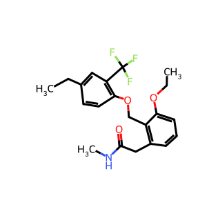 CCOc1cccc(CC(=O)NC)c1COc1ccc(CC)cc1C(F)(F)F